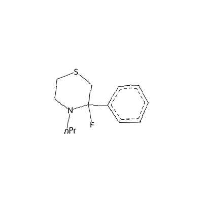 CCCN1CCSCC1(F)c1ccccc1